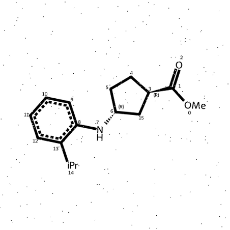 COC(=O)[C@@H]1CC[C@@H](Nc2ccccc2C(C)C)C1